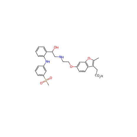 Cc1oc2cc(OCCNCC(O)c3ccccc3Nc3cccc(S(C)(=O)=O)c3)ccc2c1CC(=O)O